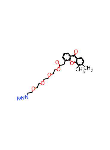 Cc1ccc2c(=O)c3cccc(CC(=O)OCCOCCOCCOCCN=[N+]=[N-])c3oc2c1C